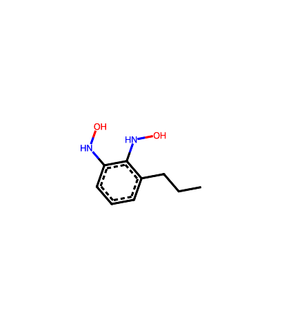 CCCc1cccc(NO)c1NO